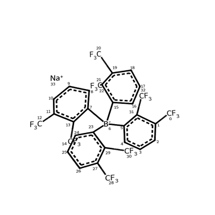 FC(F)(F)c1cccc([B-](c2cccc(C(F)(F)F)c2C(F)(F)F)(c2cccc(C(F)(F)F)c2C(F)(F)F)c2cccc(C(F)(F)F)c2C(F)(F)F)c1C(F)(F)F.[Na+]